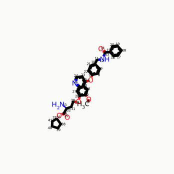 COc1cc2c(Oc3ccc(CNC(=O)c4ccccc4)cc3)ccnc2cc1OCC[C@H](N)C(=O)OC1CCCC1